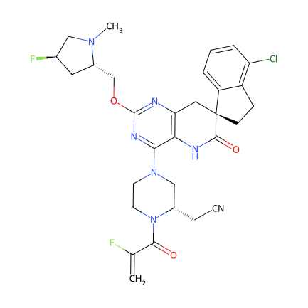 C=C(F)C(=O)N1CCN(c2nc(OC[C@@H]3C[C@@H](F)CN3C)nc3c2NC(=O)[C@]2(CCc4c(Cl)cccc42)C3)C[C@@H]1CC#N